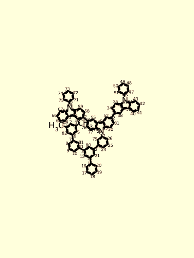 Cc1cc(C)cc(-c2cccc(-c3cc(-c4ccccc4)cc(-c4cccc(-n5c6ccc(-c7ccc8c(c7)c7ccccc7n8-c7ccccc7)cc6c6cc(-c7ccc8c(c7)c7ccccc7n8-c7ccccc7)ccc65)c4)c3)c2)c1